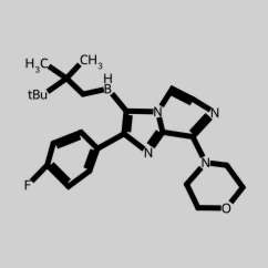 CC(C)(C)C(C)(C)CBc1c(-c2ccc(F)cc2)nc2c(N3CCOCC3)nccn12